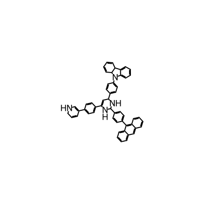 C1=CC2c3ccccc3N(c3ccc(C4C=C(c5ccc(C6=CNCC=C6)cc5)NC(c5ccc(-c6c7ccccc7cc7ccccc67)cc5)N4)cc3)C2C=C1